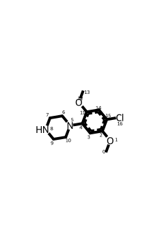 COc1cc(N2CCNCC2)c(OC)cc1Cl